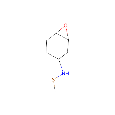 CSNC1CCC2OC2C1